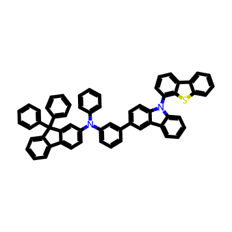 c1ccc(N(c2cccc(-c3ccc4c(c3)c3ccccc3n4-c3cccc4c3sc3ccccc34)c2)c2ccc3c(c2)C(c2ccccc2)(c2ccccc2)c2ccccc2-3)cc1